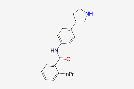 CCCc1ccccc1C(=O)Nc1ccc(C2CCNC2)cc1